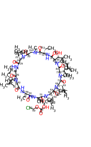 CC=CC[C@@H](C)[C@@H](O)[C@H]1C(=O)N[C@@H](CC)C(=O)N(C)CC(=O)N(C)[C@@H](CC(C)C)C(=O)N[C@@H](C(C)C)C(=O)N(C)[C@@H](CC(C)C)C(=O)N[C@@H](C)C(=O)N[C@H](C)C(=O)N(C)[C@@H](CC(C)C)C(=O)N(C)[C@@H](CC(C)C)C(=O)N(C)[C@@H](C(C)C)C(=O)N1C.O=C(O)OCCl